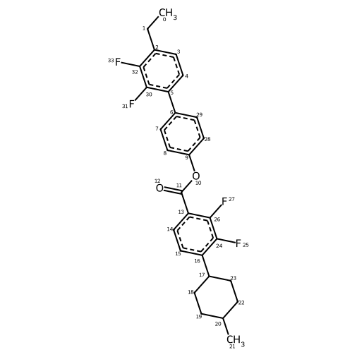 CCc1ccc(-c2ccc(OC(=O)c3ccc(C4CCC(C)CC4)c(F)c3F)cc2)c(F)c1F